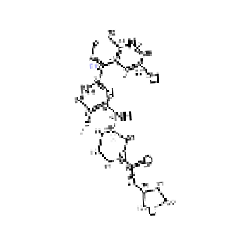 C/C=C(/c1ncc(F)c(N[C@H]2CCCN(C(=O)OC3CCOC3)C2)n1)c1cc(Cl)cnc1C